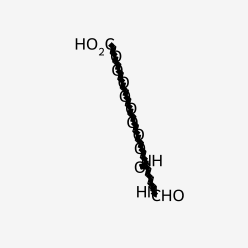 O=CNCCCCCC(=O)NCCOCCOCCOCCOCCOCCOCCOCCOCCC(=O)O